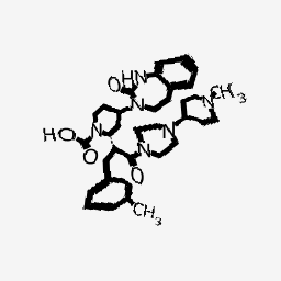 Cc1cccc(CC(C(=O)N2CCN(C3CCN(C)CC3)CC2)[C@H]2CC(N3CCc4ccccc4NC3=O)CCN2C(=O)O)c1